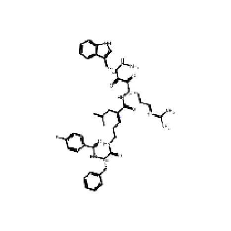 CC(C)C/C(=C\CCNC(=O)[C@H](Cc1ccccc1)NC(=O)c1ccc(F)cc1)C(=O)N[C@@H](CCCNC(N)N)C(=O)C(=O)[C@H](Cc1c[nH]c2ccccc12)NN